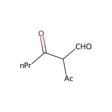 CCCC(=O)C(C=O)C(C)=O